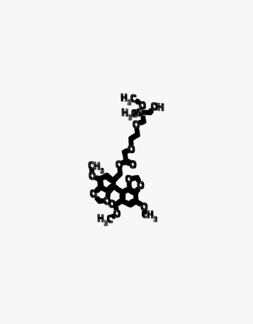 COC(=O)c1cc(OC)c2c(c1-c1c(COC(=O)COCCOC[Si](C)(CO)OC)cc(OC)c3c1OCO3)OCO2